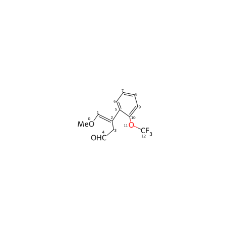 COC=C(CC=O)c1ccccc1OC(F)(F)F